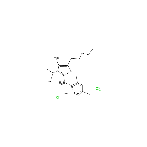 CCCCCC1=[C]([Ti+3])C(C(C)CC)=C([SiH2]c2c(C)cc(C)cc2C)C1.[Cl-].[Cl-].[Cl-]